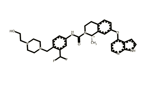 C[C@H]1c2cc(Oc3ccnc4[nH]ccc34)ccc2CCN1C(=O)Nc1ccc(CN2CCN(CCO)CC2)c(C(F)F)c1